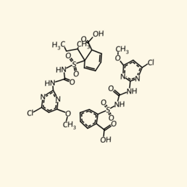 CCC(C)C1(S(=O)(=O)NC(=O)Nc2nc(Cl)cc(OC)n2)C=CC=CC1C(=O)O.COc1cc(Cl)nc(NC(=O)NS(=O)(=O)c2ccccc2C(=O)O)n1